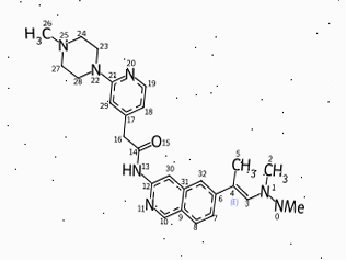 CNN(C)/C=C(\C)c1ccc2cnc(NC(=O)Cc3ccnc(N4CCN(C)CC4)c3)cc2c1